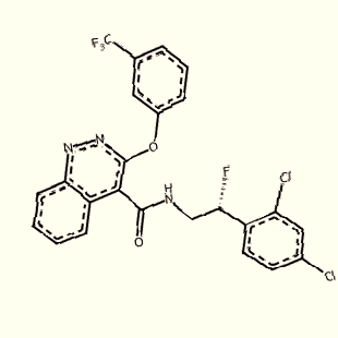 O=C(NC[C@H](F)c1ccc(Cl)cc1Cl)c1c(Oc2cccc(C(F)(F)F)c2)nnc2ccccc12